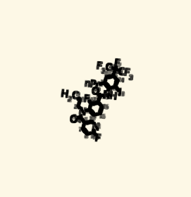 C=CCN(C(=O)c1ccc(F)nc1)c1cccc(C(=O)Nc2c(I)cc(C(F)(C(F)(F)F)C(F)(F)F)cc2CCC)c1F